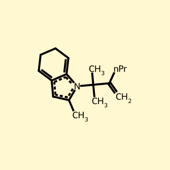 C=C(CCC)C(C)(C)n1c(C)cc2c1=CCCC=2